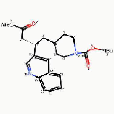 COC(=O)C[C@H](CC1CCN(C(=O)OC(C)(C)C)CC1)c1cnc2ccccc2c1